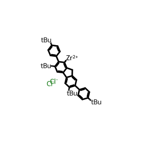 CC(C)(C)c1ccc(-c2cc3c(cc2C(C)(C)C)-c2cc(C(C)(C)C)c(-c4ccc(C(C)(C)C)cc4)[c]([Zr+2])c2C3)cc1.[Cl-].[Cl-]